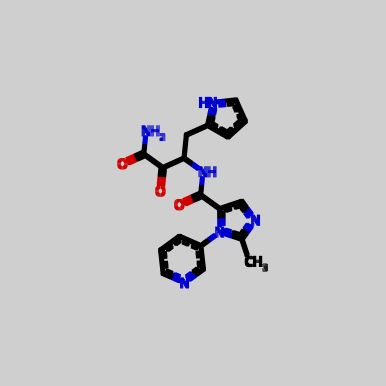 Cc1ncc(C(=O)NC(Cc2ccc[nH]2)C(=O)C(N)=O)n1-c1cccnc1